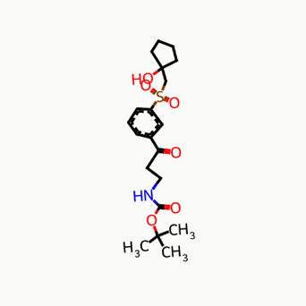 CC(C)(C)OC(=O)NCCC(=O)c1cccc(S(=O)(=O)CC2(O)CCCC2)c1